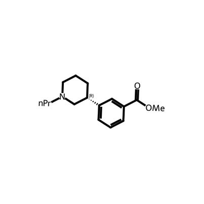 CCCN1CCC[C@H](c2cccc(C(=O)OC)c2)C1